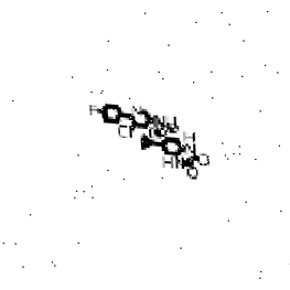 O=c1[nH]c2cc(C3CC3)c(S(=O)(=O)Nc3cnc(-c4ccc(F)cc4)c(Cl)c3)cc2[nH]c1=O